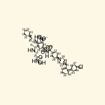 O=C(CCNCC[C@H](CSc1ccccc1)Nc1ccc(S(=O)(=O)NC(=O)c2ccc(N3CCN(Cc4ccccc4-c4ccc(Cl)cc4)CC3)cc2)cc1[N+](=O)[O-])NO